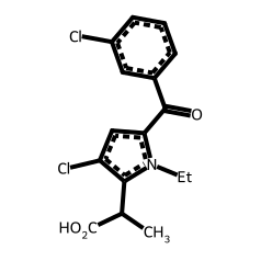 CCn1c(C(=O)c2cccc(Cl)c2)cc(Cl)c1C(C)C(=O)O